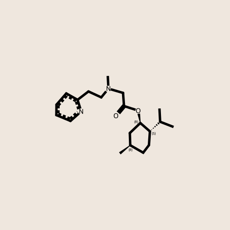 CC(C)[C@@H]1CC[C@@H](C)C[C@H]1OC(=O)CN(C)CCc1ccccn1